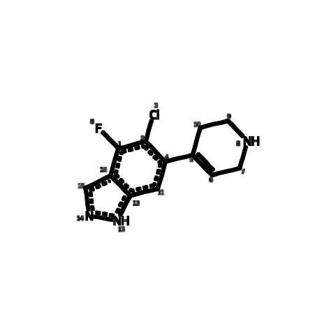 Fc1c(Cl)c(C2=CCNCC2)cc2[nH]ncc12